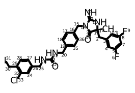 C[C@]1(Cc2cc(F)cc(F)c2)NC(=N)N(Cc2ccc(CNC(=O)NCc3ccc(CI)c(Cl)c3)cc2)C1=O